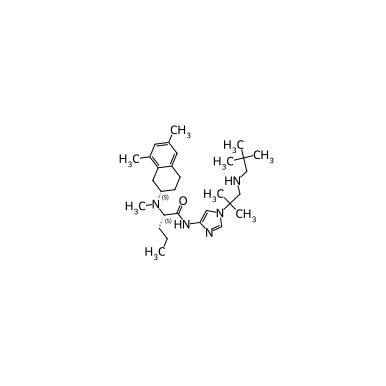 CCC[C@@H](C(=O)Nc1cn(C(C)(C)CNCC(C)(C)C)cn1)N(C)[C@H]1CCc2cc(C)cc(C)c2C1